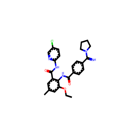 CCOc1cc(C)cc(C(=O)Nc2ccc(Cl)cn2)c1NC(=O)c1ccc(C(=N)N2CCCC2)cc1